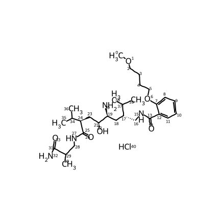 COCCCCOc1ccccc1C(=O)NC[C@H](C[C@H](N)[C@@H](O)C[C@@H](C(=O)NCC(C)C(N)=O)C(C)C)C(C)C.Cl